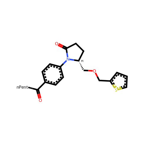 CCCCCC(=O)c1ccc(N2C(=O)CC[C@@H]2COCc2cccs2)cc1